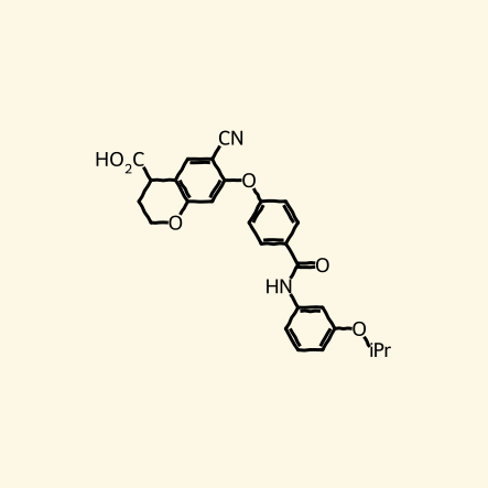 CC(C)Oc1cccc(NC(=O)c2ccc(Oc3cc4c(cc3C#N)C(C(=O)O)CCO4)cc2)c1